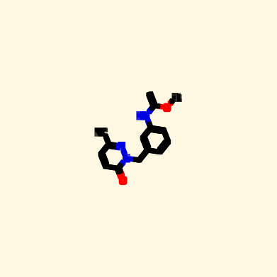 C=C(Nc1cccc(Cn2nc(C#N)ccc2=O)c1)OCC